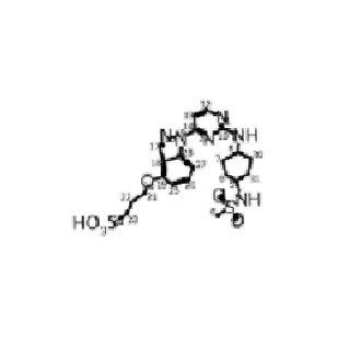 CS(=O)(=O)NC1CCC(Nc2nccc(-n3ncc4c(OCCCS(=O)(=O)O)cccc43)n2)CC1